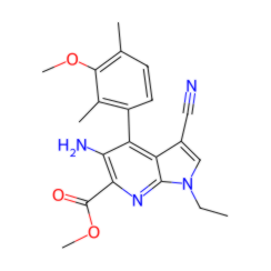 CCn1cc(C#N)c2c(-c3ccc(C)c(OC)c3C)c(N)c(C(=O)OC)nc21